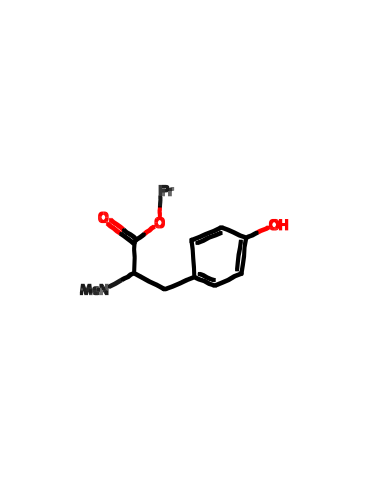 CNC(Cc1ccc(O)cc1)C(=O)OC(C)C